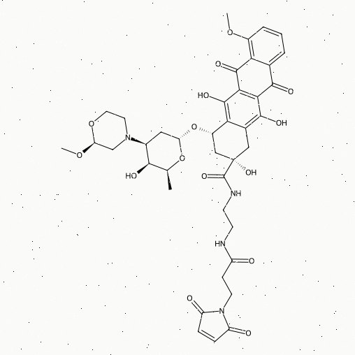 COc1cccc2c1C(=O)c1c(O)c3c(c(O)c1C2=O)C[C@@](O)(C(=O)NCCNC(=O)CCN1C(=O)C=CC1=O)C[C@@H]3O[C@H]1C[C@H](N2CCO[C@H](OC)C2)[C@H](O)[C@H](C)O1